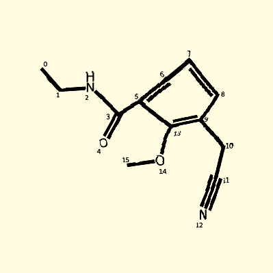 CCNC(=O)c1cccc(CC#N)c1OC